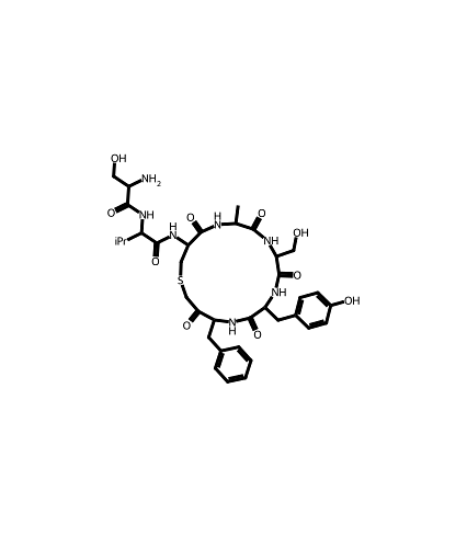 CC1NC(=O)C(NC(=O)C(NC(=O)C(N)CO)C(C)C)CSCC(=O)C(Cc2ccccc2)NC(=O)C(Cc2ccc(O)cc2)NC(=O)C(CO)NC1=O